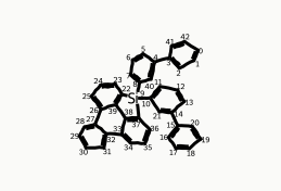 c1ccc(-c2cccc([Si]3(c4cccc(-c5ccccc5)c4)c4cccc5c6ccccc6c6cccc3c6c45)c2)cc1